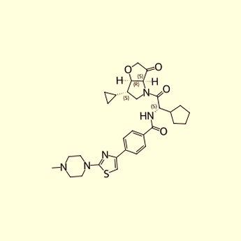 CN1CCN(c2nc(-c3ccc(C(=O)N[C@H](C(=O)N4C[C@H](C5CC5)[C@H]5OCC(=O)[C@H]54)C4CCCC4)cc3)cs2)CC1